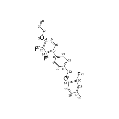 C=CCOc1ccc(-c2ccc(COc3ccc(C)cc3F)cc2)c(F)c1F